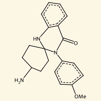 COc1ccc(N2C(=O)c3ccccc3NC23CCC(N)CC3)cc1